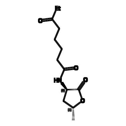 CCC(=O)CCCCC(=O)N[C@@H]1C[C@@H](C)OC1=O